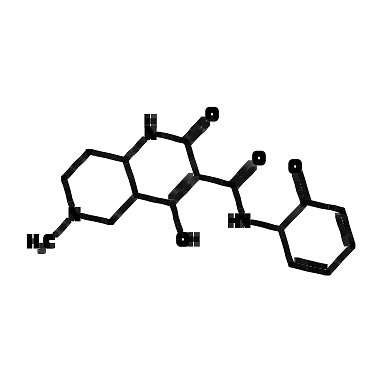 CN1CCC2NC(=O)C(C(=O)NC3C=CC=CC3=O)=C(O)C2C1